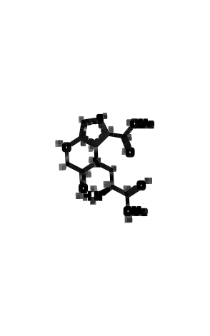 COC(=O)c1scc2c1N(C[C@H](N)C(=O)OC)C(=O)CO2